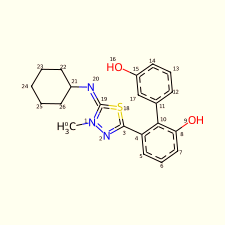 Cn1nc(-c2cccc(O)c2-c2cccc(O)c2)sc1=NC1CCCCC1